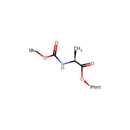 CCC[C@H](C)OC(=O)[C@H](C)NC(=O)OC(C)(C)C